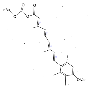 CCCCOC(=O)OC(=O)/C=C(C)/C=C/C=C(C)/C=C/c1c(C)cc(OC)c(C)c1C